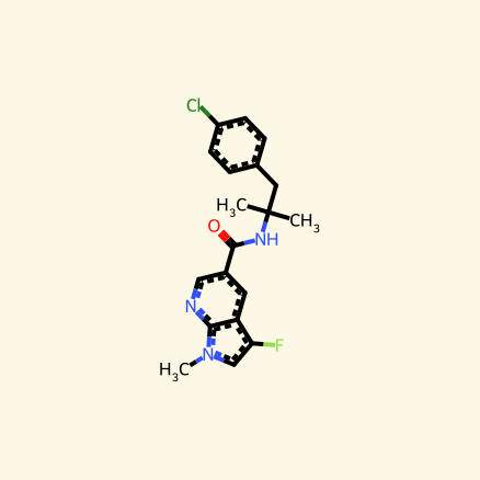 Cn1cc(F)c2cc(C(=O)NC(C)(C)Cc3ccc(Cl)cc3)cnc21